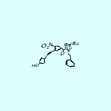 CCCCC(=O)O[C@H](CCc1ccccc1)NC(=O)c1ccc([N+](=O)[O-])c(C#Cc2ccc(O)cc2)c1